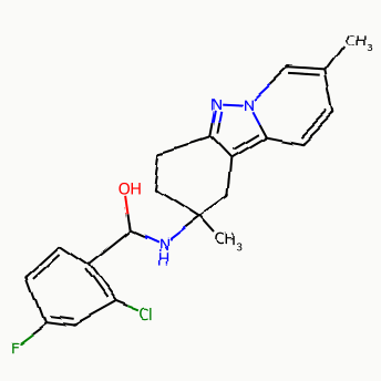 Cc1ccc2c3c(nn2c1)CCC(C)(NC(O)c1ccc(F)cc1Cl)C3